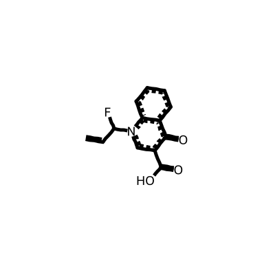 C=CC(F)n1cc(C(=O)O)c(=O)c2ccccc21